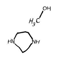 C1CNCN1.CO